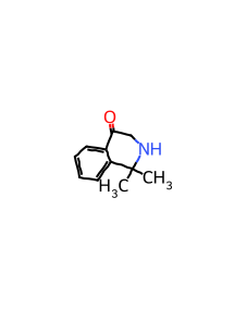 CC1(C)NCC(=O)c2ccccc21